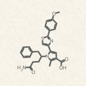 COc1ccc(-c2nc(-c3cc(C(=O)O)c(C)n3C(CCC(N)=O)Cc3ccccc3)cs2)cc1